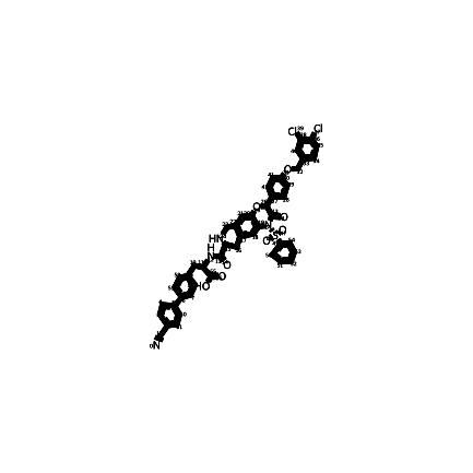 N#Cc1ccc(-c2ccc(CC(NC(=O)C3Cc4cc5c(cc4CN3)OC(c3ccc(OCc4ccc(Cl)c(Cl)c4)cc3)C(=O)N5S(=O)(=O)c3ccccc3)C(=O)O)cc2)cc1